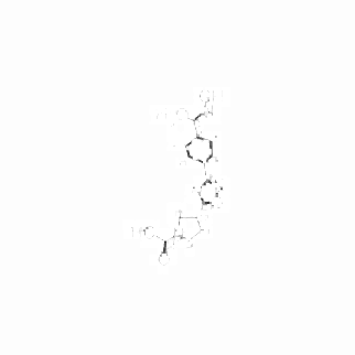 C/C(=N\O)c1ccc(-c2noc([C@@H]3CCN(C(=O)O)C3)n2)cc1